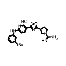 CC(C)(C)c1cccc(Nc2ccc(-c3noc(C4CCN(C(=N)N)C4)n3)cn2)c1.Cl